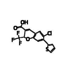 O=C(O)C1=Cc2cc(Cl)c(-c3cccs3)cc2OC1C(F)(F)F